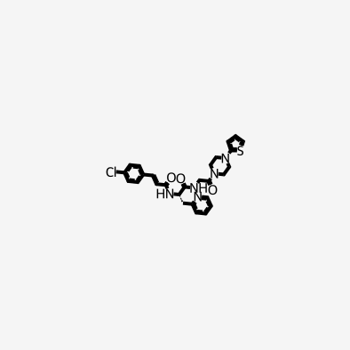 O=C(C=Cc1ccc(Cl)cc1)N[C@@H](Cc1ccccn1)C(=O)NCC(=O)N1CCN(c2cccs2)CC1